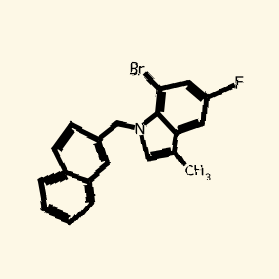 Cc1cn(Cc2ccc3ccccc3c2)c2c(Br)cc(F)cc12